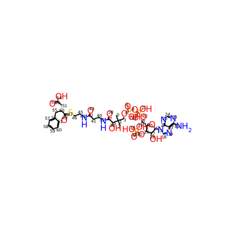 CC(C)(COP(=O)(O)OP(=O)(O)OC[C@H]1O[C@@H](n2cnc3c(N)ncnc32)[C@H](O)[C@@H]1OP(=O)(O)O)[C@@H](O)C(=O)NCCC(=O)NCCSC(=O)[C@@H](CC(=O)O)Cc1ccccc1